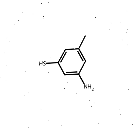 Cc1cc(N)cc(S)c1